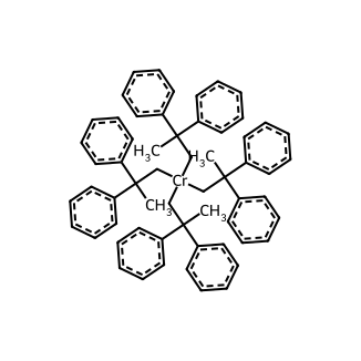 CC([CH2][Cr]([CH2]C(C)(c1ccccc1)c1ccccc1)([CH2]C(C)(c1ccccc1)c1ccccc1)[CH2]C(C)(c1ccccc1)c1ccccc1)(c1ccccc1)c1ccccc1